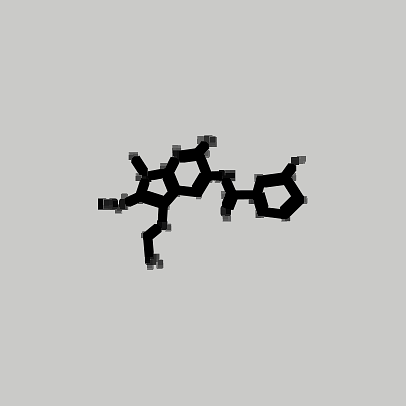 CCOC(=O)c1c(OCC(F)(F)F)c2cc(NC(=O)c3cccc(F)c3)c(CC)nc2n1C